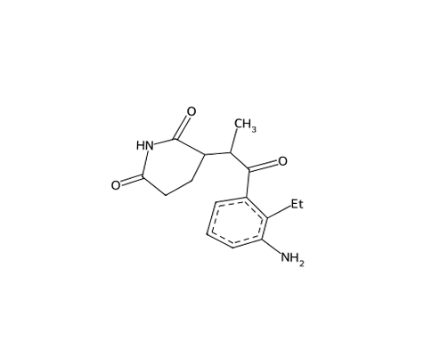 CCc1c(N)cccc1C(=O)C(C)C1CCC(=O)NC1=O